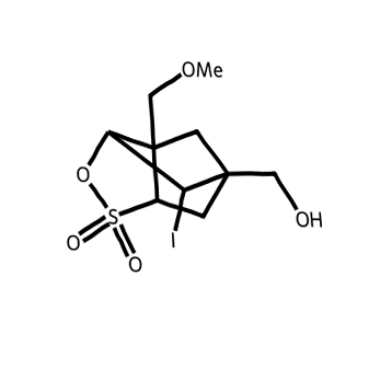 COCC12CC3(CO)CC1S(=O)(=O)OC2C3I